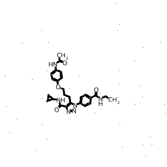 CCNC(=O)c1ccc(-n2nnc(C(=O)NC3CC3)c2CCCOc2ccc(NC(C)=O)cc2)cc1